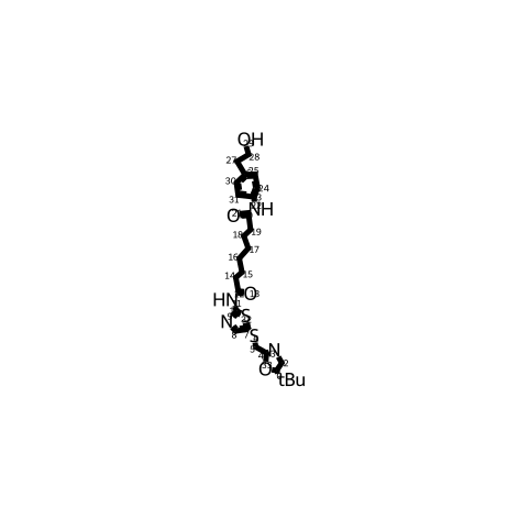 CC(C)(C)C1CN=C(CSc2cnc(NC(=O)CCCCCCC(=O)Nc3ccc(CCO)cc3)s2)O1